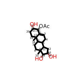 CC(=O)O[C@@H]1C2=CCC3C(CCC4(C)C3C[C@@H](O)[C@@H]4O)C2(C)CC[C@@H]1O